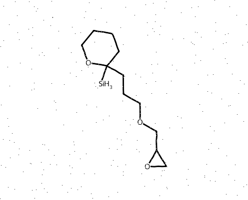 [SiH3]C1(CCCOCC2CO2)CCCCO1